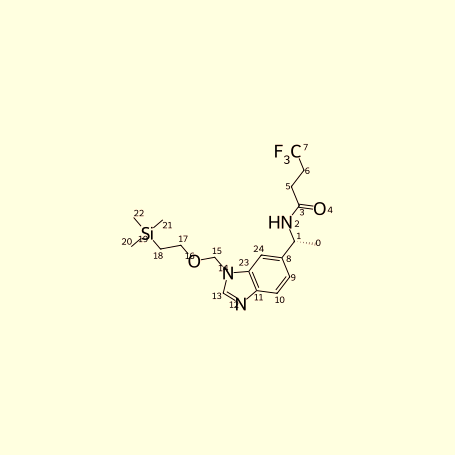 C[C@@H](NC(=O)CCC(F)(F)F)c1ccc2ncn(COCC[Si](C)(C)C)c2c1